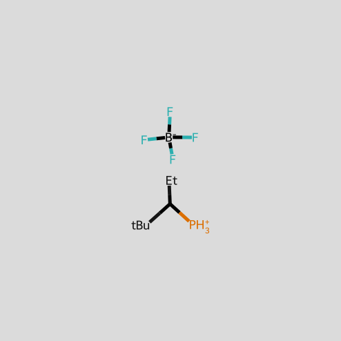 CCC([PH3+])C(C)(C)C.F[B-](F)(F)F